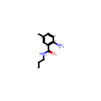 CCCNC(=O)c1cc(C)ccc1N